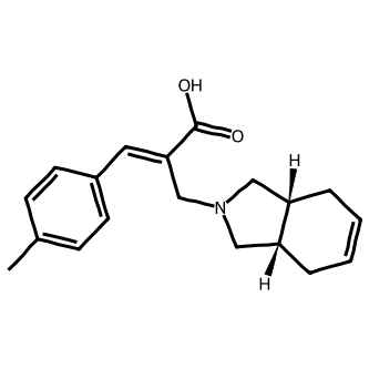 Cc1ccc(/C=C(\CN2C[C@H]3CC=CC[C@H]3C2)C(=O)O)cc1